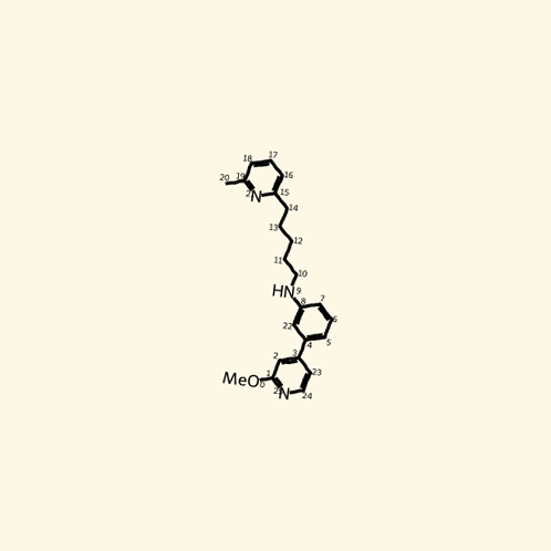 COc1cc(-c2cccc(NCCCCCc3cccc(C)n3)c2)ccn1